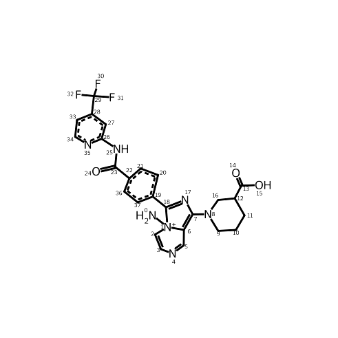 N[N+]12C=CN=CC1=C(N1CCCC(C(=O)O)C1)N=C2c1ccc(C(=O)Nc2cc(C(F)(F)F)ccn2)cc1